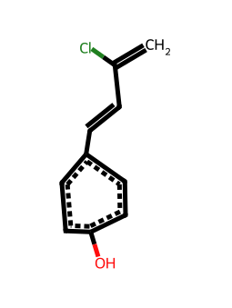 C=C(Cl)C=Cc1ccc(O)cc1